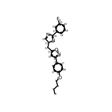 CCCCOc1ccc(-c2cc(CC3C=NC(c4cccc(F)c4)=N3)on2)cc1